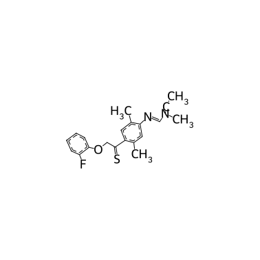 CCN(C)C=Nc1cc(C)c(C(=S)COc2ccccc2F)cc1C